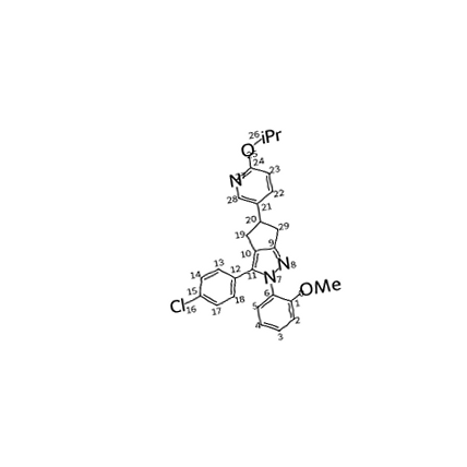 COc1ccccc1-n1nc2c(c1-c1ccc(Cl)cc1)CC(c1ccc(OC(C)C)nc1)C2